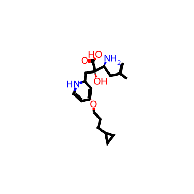 CC(C)C[C@H](N)[C@](O)(CC1C=C(OCCCC2CC2)C=CN1)C(=O)O